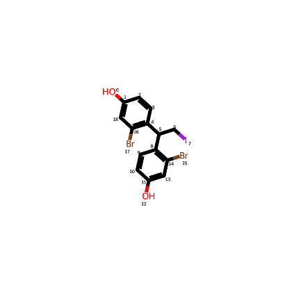 Oc1ccc(C(CI)c2ccc(O)cc2Br)c(Br)c1